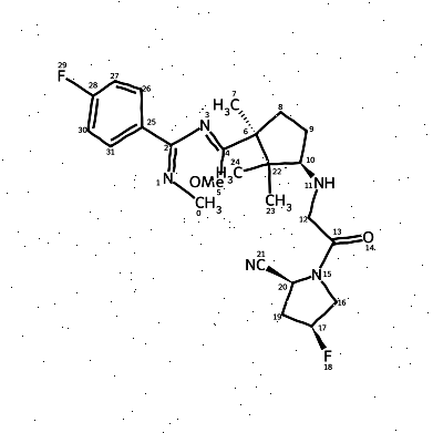 C/N=C(\N=C(/OC)[C@@]1(C)CC[C@@H](NCC(=O)N2C[C@@H](F)C[C@H]2C#N)C1(C)C)c1ccc(F)cc1